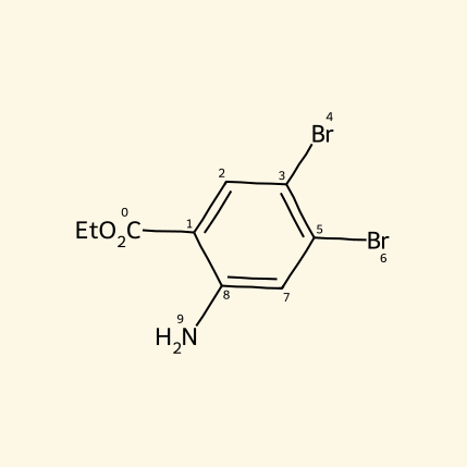 CCOC(=O)c1cc(Br)c(Br)cc1N